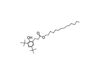 CCCCCCCCCCCCCCOC(=O)CCc1cc(C(C)(C)C)cc(C(C)(C)C)c1O